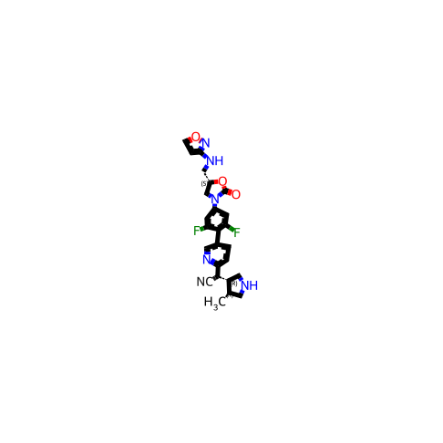 C[C@H]1CNC[C@H]1C(C#N)c1ccc(-c2c(F)cc(N3C[C@H](CNc4ccon4)OC3=O)cc2F)cn1